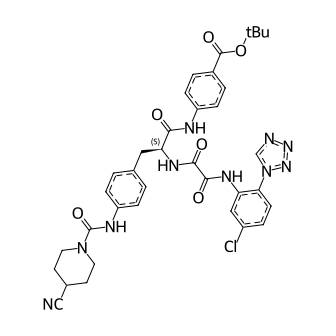 CC(C)(C)OC(=O)c1ccc(NC(=O)[C@H](Cc2ccc(NC(=O)N3CCC(C#N)CC3)cc2)NC(=O)C(=O)Nc2cc(Cl)ccc2-n2cnnn2)cc1